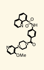 COc1ccncc1N1CCN(C(=O)c2ccc(NS(=O)(=O)c3cccc4cccnc34)cc2)CC1